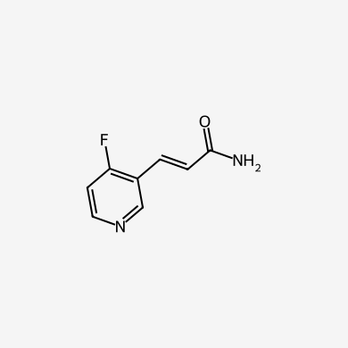 NC(=O)C=Cc1cnccc1F